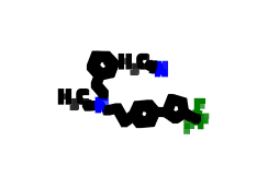 CC#N.CCN(CCCc1ccc(C2CCC(C(F)(F)F)C2)cc1)CCc1ccccc1